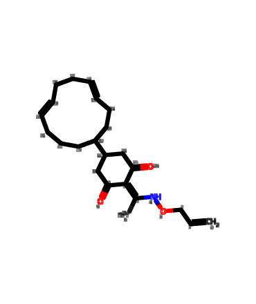 C=CCONC(CCC)=C1C(=O)CC(C2CC/C=C/CC/C=C/CCC2)CC1=O